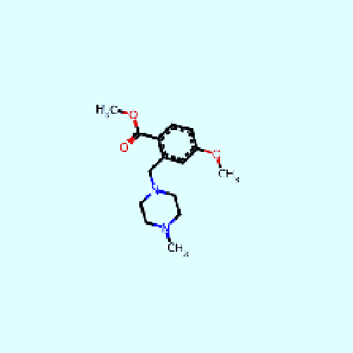 COC(=O)c1ccc(OC)cc1CN1CCN(C)CC1